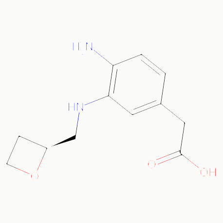 Nc1ccc(CC(=O)O)cc1NC[C@@H]1CCO1